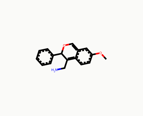 COc1ccc2c(c1)=COC(c1ccccc1)C=2CN